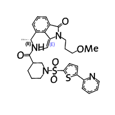 C/C=C1\c2c(cccc2[C@@H](C)NC(=O)C2CCCN(S(=O)(=O)c3ccc(-c4ccccn4)s3)C2)C(=O)N1CCCOC